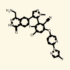 Cn1ncc(-c2ccc3c(=O)[nH]nc(CN)c3c2)c1-c1c(F)c(Cl)cc(Oc2ccc(-n3cc(F)cn3)nc2)c1C#N